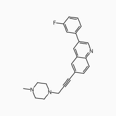 CN1CCN(CC#Cc2ccc3ncc(-c4cccc(F)c4)cc3c2)CC1